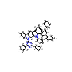 c1ccc(-c2ccc(-c3ccccc3-n3c4ccccc4c4cc5c6ccccc6n(-c6nc(-c7ccccc7)nc(-c7ccccc7)n6)c5cc43)c(-c3ccccc3)c2)cc1